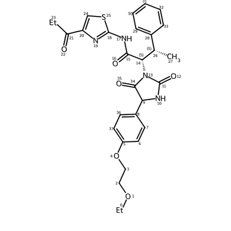 CCOCCOc1ccc(C2NC(=O)N([C@H](C(=O)Nc3nc(C(=O)CC)cs3)[C@@H](C)c3ccccc3)C2=O)cc1